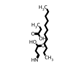 CCC(=O)O.CCCCCCCCCCCC.N=CCC(=O)O